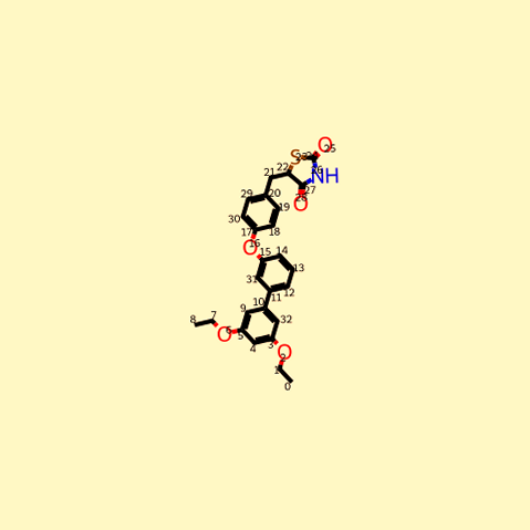 CCOc1cc(OCC)cc(-c2cccc(Oc3ccc(CC4SC(=O)NC4=O)cc3)c2)c1